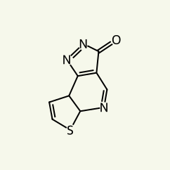 O=C1N=NC2=C1C=NC1SC=CC21